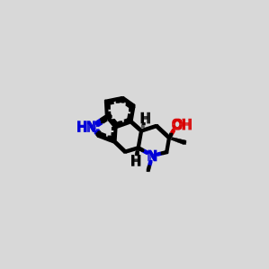 CN1C[C@@](C)(O)C[C@@H]2c3cccc4[nH]cc(c34)C[C@H]21